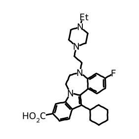 CCN1CCN(CCN2CCn3c(c(C4CCCCC4)c4ccc(C(=O)O)cc43)-c3ccc(F)cc32)CC1